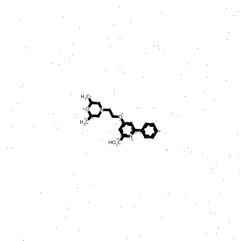 CC1CN(CCOc2cc(C(=O)O)nc(-c3ccccc3)c2)CC(C)O1